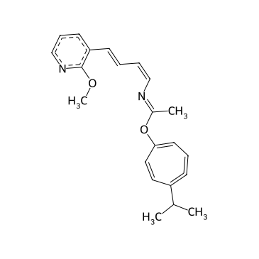 COc1ncccc1/C=C/C=C\N=C(/C)OC1=CC=C=C(C(C)C)C=C1